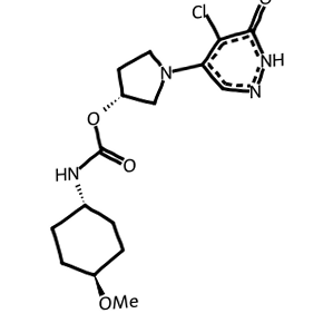 CO[C@H]1CC[C@H](NC(=O)O[C@@H]2CCN(c3cn[nH]c(=O)c3Cl)C2)CC1